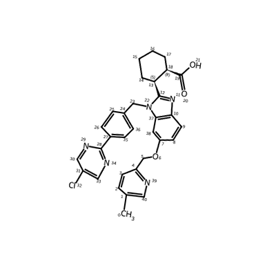 Cc1ccc(COc2ccc3nc([C@H]4CCCC[C@H]4C(=O)O)n(Cc4ccc(-c5ncc(Cl)cn5)cc4)c3c2)nc1